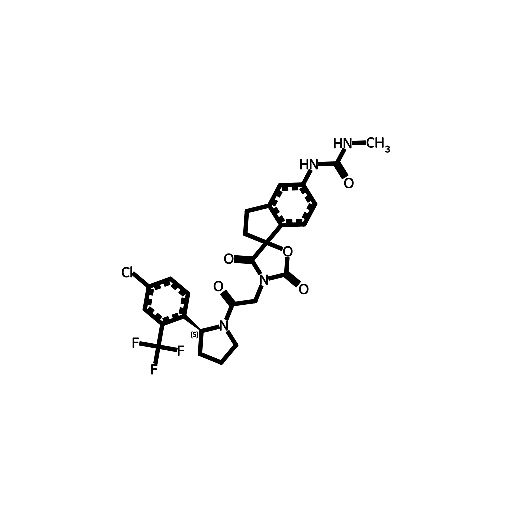 CNC(=O)Nc1ccc2c(c1)CCC21OC(=O)N(CC(=O)N2CCC[C@H]2c2ccc(Cl)cc2C(F)(F)F)C1=O